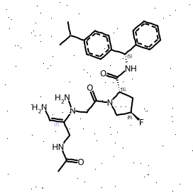 CC(=O)NC/C(=C/N)N(N)CC(=O)N1C[C@H](F)C[C@H]1C(=O)N[C@@H](c1ccccc1)c1ccc(C(C)C)cc1